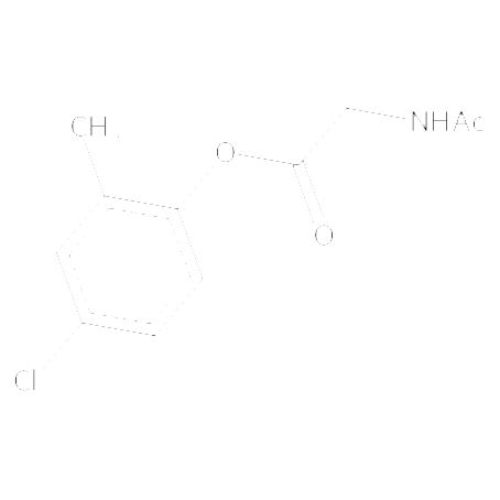 CC(=O)NCC(=O)Oc1ccc(Cl)cc1C